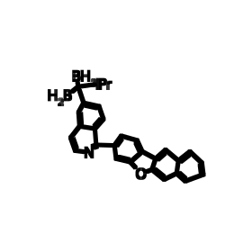 BC(B)(c1ccc2c(-c3ccc4c(c3)oc3cc5ccccc5cc34)nccc2c1)C(C)C